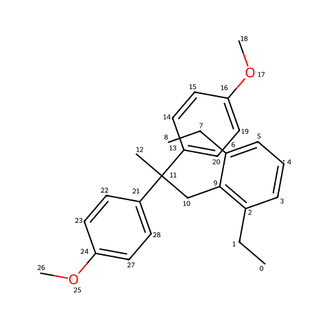 CCc1c[c]cc(CC)c1CC(C)(c1ccc(OC)cc1)c1ccc(OC)cc1